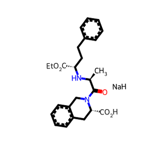 CCOC(=O)[C@H](CCc1ccccc1)N[C@@H](C)C(=O)N1Cc2ccccc2C[C@H]1C(=O)O.[NaH]